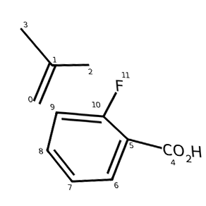 C=C(C)C.O=C(O)c1ccccc1F